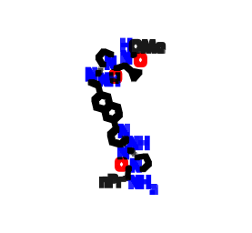 CCC[C@H](N)C(=O)N1CCC[C@H]1c1nc2ccc(-c3ccc4cc(-c5cnc([C@@H]6CCCN6C(=O)[C@@H](NC(=O)OC)C6CC6)[nH]5)ccc4c3)nc2[nH]1